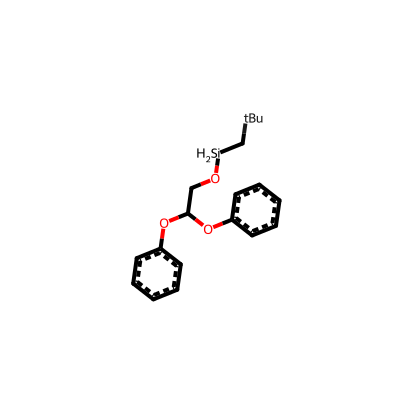 CC(C)(C)C[SiH2]OCC(Oc1ccccc1)Oc1ccccc1